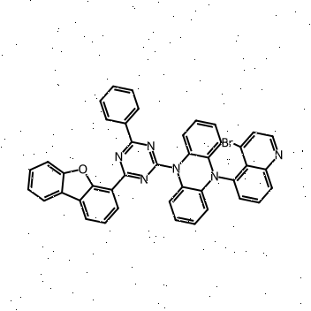 Brc1ccnc2cccc(N3c4ccccc4N(c4nc(-c5ccccc5)nc(-c5cccc6c5oc5ccccc56)n4)c4ccccc43)c12